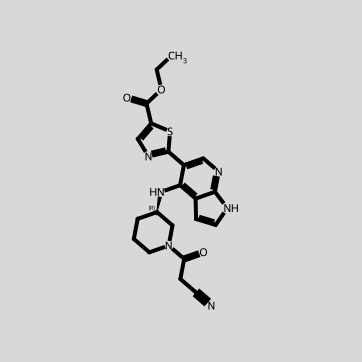 CCOC(=O)c1cnc(-c2cnc3[nH]ccc3c2N[C@@H]2CCCN(C(=O)CC#N)C2)s1